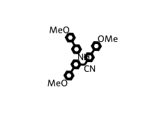 COc1ccc(-c2ccc(Nc3ccc(-c4ccc(OC)cc4)cc3C(C#N)c3ccc(-c4ccc(OC)cc4)cc3)cc2)cc1